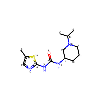 Cc1cnc(NC(=O)N[C@@H]2CCCN(C(C)C)C2)s1